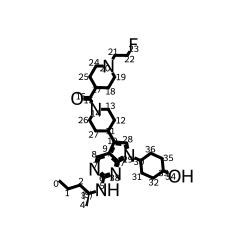 CCC[C@H](C)Nc1ncc2c(C3CCN(C(=O)C4CCN(CCF)CC4)CC3)cn(C3CCC(O)CC3)c2n1